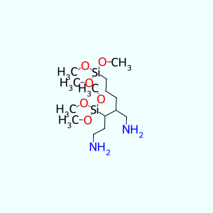 CO[Si](CCCC(CN)C(CCN)[Si](OC)(OC)OC)(OC)OC